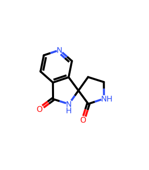 O=C1NC2(CCNC2=O)c2cnccc21